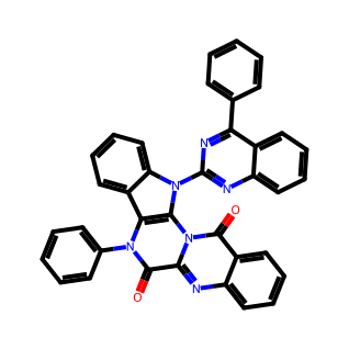 O=c1c2nc3ccccc3c(=O)n2c2c(c3ccccc3n2-c2nc(-c3ccccc3)c3ccccc3n2)n1-c1ccccc1